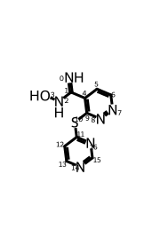 N=C(NO)c1ccnnc1Sc1ccncn1